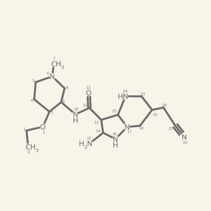 CCOC1CCN(C)CC1NC(=O)C1C(N)NN2CC(CC#N)CNC12